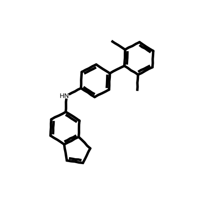 Cc1cccc(C)c1-c1ccc(Nc2ccc3c(c2)CC=C3)cc1